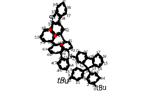 CC(C)(C)c1ccc(C2(c3ccc(C(C)(C)C)cc3)c3ccccc3-c3ccc(N(c4ccc(-c5ccc6sc7ccccc7c6c5)cc4)c4ccccc4-c4ccc(-c5ccccc5)cc4)cc32)cc1